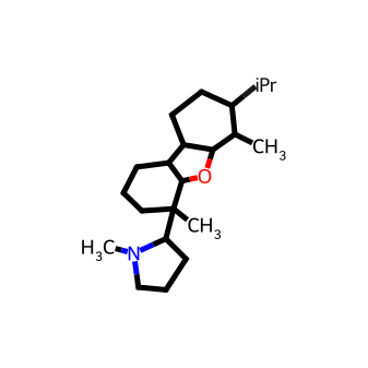 CC(C)C1CCC2C3CCCC(C)(C4CCCN4C)C3OC2C1C